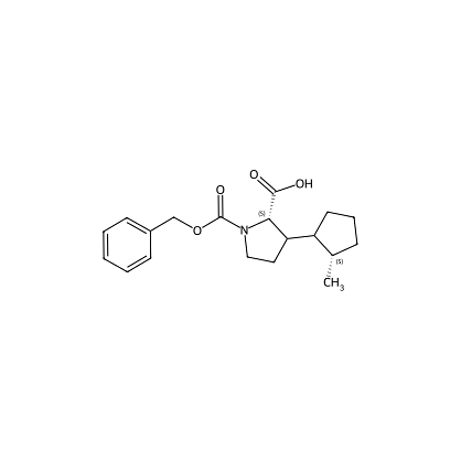 C[C@H]1CCCC1C1CCN(C(=O)OCc2ccccc2)[C@@H]1C(=O)O